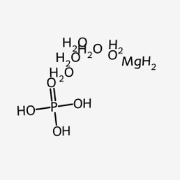 O.O.O.O.O.O=P(O)(O)O.[MgH2]